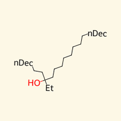 [CH2]CC(O)(CCCCCCCCCCCC)CCCCCCCCCCCCCCCCCC